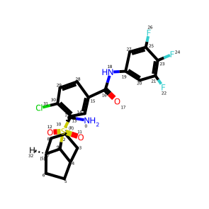 NC[C@@H]1CC2CC[C@@H](C1)C2S(=O)(=O)c1cc(C(=O)Nc2cc(F)c(F)c(F)c2)ccc1Cl